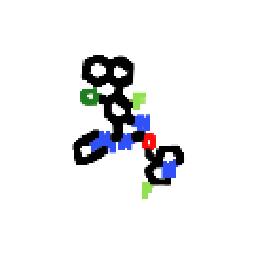 Fc1c(-c2cccc3c2CCCC3)c(Cl)cc2c(N3CC4CCC(C3)N4)nc(OC[C@@]34CCCN3C[C@H](F)C4)nc12